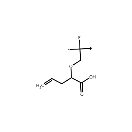 C=CCC(OCC(F)(F)F)C(=O)O